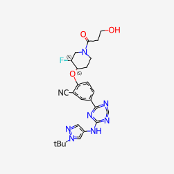 CC(C)(C)n1cc(Nc2ncnc(-c3ccc(O[C@H]4CCN(C(=O)CCO)C[C@@H]4F)c(C#N)c3)n2)cn1